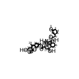 COc1cccc(CC(=O)N[C@](C)(c2cn(C(CC(=O)O)C(=O)Nc3ccc4c(C)c(CC(=O)O)c(=O)oc4c3)nn2)C2CCCCC2)c1